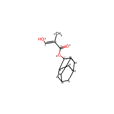 CC(=CO)C(=O)OC1C2CC3CC(C2)CC1C3